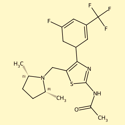 CC(=O)Nc1nc(C2C=C(C(F)(F)F)C=C(F)C2)c(CN2[C@H](C)CC[C@@H]2C)s1